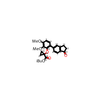 COc1ccc(-c2ccc3c(c2)CCC3=O)c(OC2(C(=O)OCC(C)C)CC2)c1OC